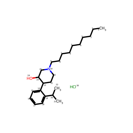 CCCCCCCCCCN1CCC(c2ccccc2C(C)C)C(O)C1.Cl